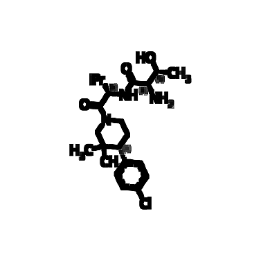 CC(C)[C@@H](NC(=O)[C@H](N)[C@H](C)O)C(=O)N1CC[C@H](c2ccc(Cl)cc2)C(C)(C)C1